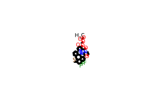 COC(=O)OCOc1c2n(ccc1=O)N(C1c3ccccc3-c3scc4c3-c3c1ccc(F)c3C(F)(F)C4)C1COCCN1C2=O